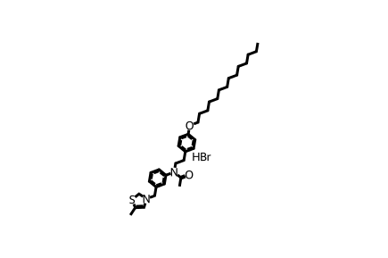 Br.CCCCCCCCCCCCCCOc1ccc(CCN(C(C)=O)c2cccc(CN3C=C(C)SC3)c2)cc1